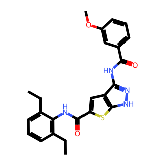 CCc1cccc(CC)c1NC(=O)c1cc2c(NC(=O)c3cccc(OC)c3)n[nH]c2s1